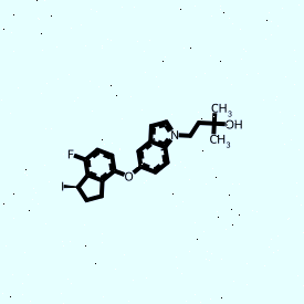 CC(C)(O)CCn1ccc2cc(Oc3ccc(F)c4c3CC[C@H]4I)ccc21